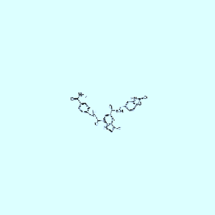 NC(=O)c1ccc(CNC(=O)c2cc(C(=O)NCc3ccc4oc(=O)[nH]c4c3)nc3c(F)cnn23)cc1